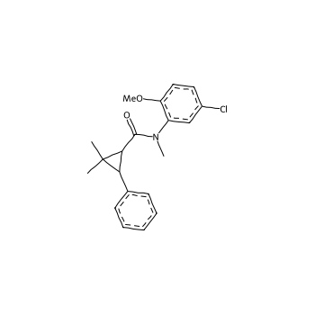 COc1ccc(Cl)cc1N(C)C(=O)C1C(c2ccccc2)C1(C)C